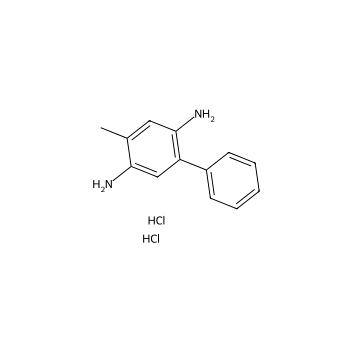 Cc1cc(N)c(-c2ccccc2)cc1N.Cl.Cl